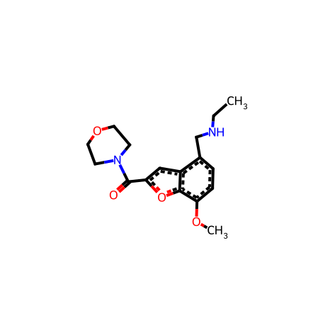 CCNCc1ccc(OC)c2oc(C(=O)N3CCOCC3)cc12